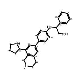 OCC(Nc1ccc(-c2cc3c(c(C4CCCN4)c2)COCC3)cn1)c1ccccc1